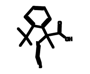 CC(C)(C)c1ccccc1C(C)(N=C=S)C(=O)O